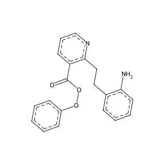 Nc1ccccc1CCc1ncccc1C(=O)OOc1ccccc1